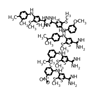 COc1cccc(Nc2cc(C(=N)N)sc2SC)c1.CSc1sc(C(=N)N)cc1Nc1ccc(C(C)C)cc1.CSc1sc(C(=N)N)cc1Nc1ccc(C)c(C)c1.CSc1sc(C(=N)N)cc1Nc1cccc(C(C)C)c1.CSc1sc(C(=N)N)cc1Nc1cccc([N+](=O)[O-])c1